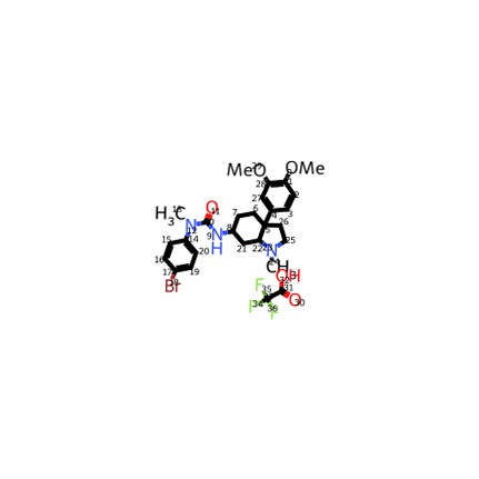 COc1ccc(C23CCC(NC(=O)N(C)c4ccc(Br)cc4)CC2N(C)CC3)cc1OC.O=C(O)C(F)(F)F